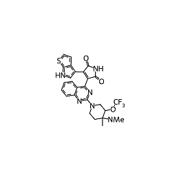 CNC1(C)CCN(c2nc(C3=C(c4c[nH]c5sccc45)C(=O)NC3=O)c3ccccc3n2)CC1OC(F)(F)F